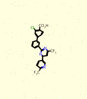 O=C(O)c1ccc(-c2cccc(-c3nc(-c4ccc(C(F)(F)F)nc4)cc(C(F)(F)F)n3)c2)cc1Cl